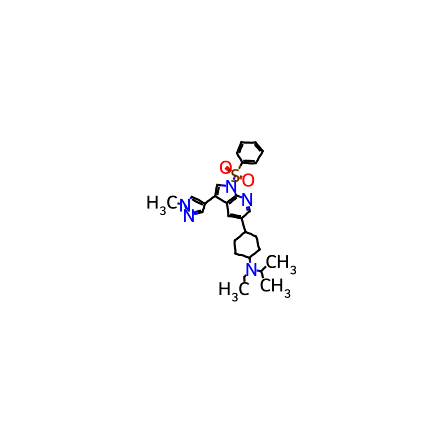 CCN(C(C)C)C1CCC(c2cnc3c(c2)c(-c2cnn(C)c2)cn3S(=O)(=O)c2ccccc2)CC1